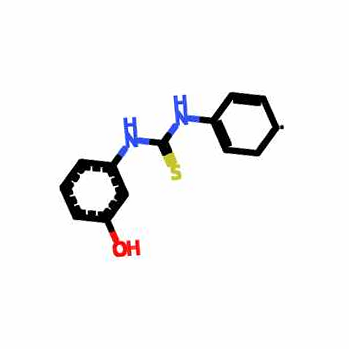 Oc1cccc(NC(=S)NC2=CC[CH]C=C2)c1